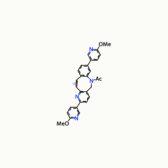 COc1ccc(-c2ccc3c(c2)N(C(C)=O)Cc2ccc(-c4ccc(OC)nc4)nc2/C=C\3)cn1